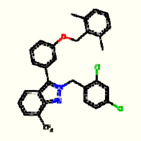 Cc1cccc(C)c1COc1cccc(-c2c3cccc(C(F)(F)F)c3nn2Cc2ccc(Cl)cc2Cl)c1